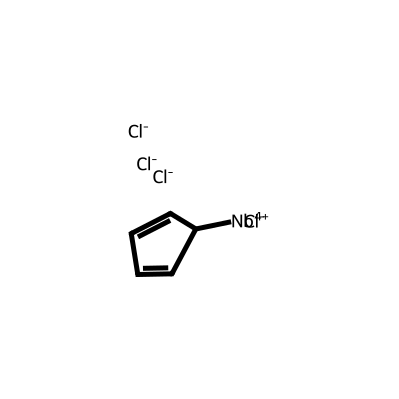 [Cl-].[Cl-].[Cl-].[Cl-].[Nb+4][CH]1C=CC=C1